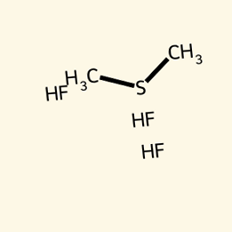 CSC.F.F.F